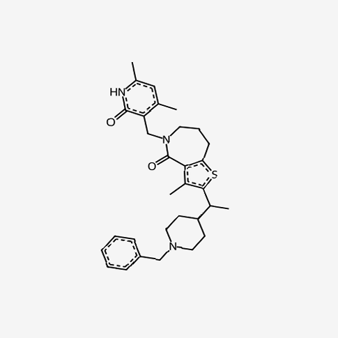 Cc1cc(C)c(CN2CCCc3sc(C(C)C4CCN(Cc5ccccc5)CC4)c(C)c3C2=O)c(=O)[nH]1